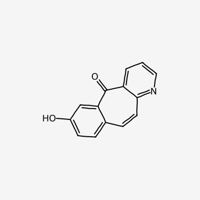 O=c1c2cc(O)ccc2ccc2ncccc12